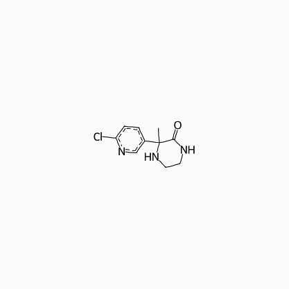 CC1(c2ccc(Cl)nc2)NCCNC1=O